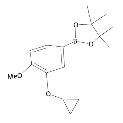 COc1ccc(B2OC(C)(C)C(C)(C)O2)cc1OC1CC1